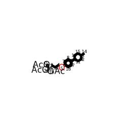 CC(=O)O[Si](CCCOc1ccc(C2CCC(C)CC2)cc1)(OC(C)=O)OC(C)=O